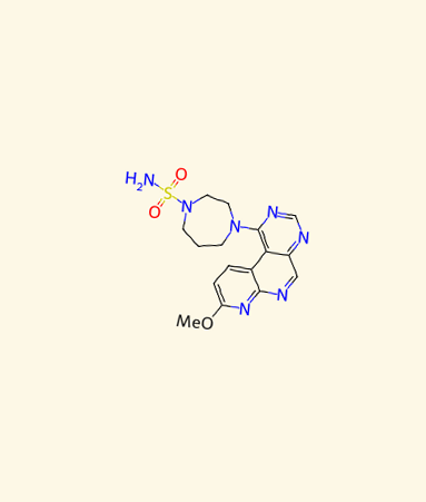 COc1ccc2c(ncc3ncnc(N4CCCN(S(N)(=O)=O)CC4)c32)n1